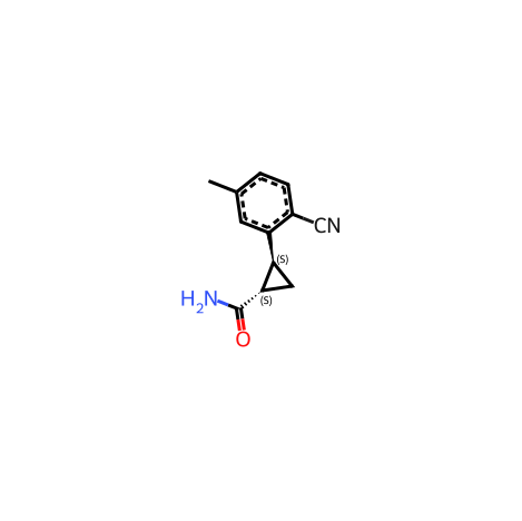 Cc1ccc(C#N)c([C@H]2C[C@@H]2C(N)=O)c1